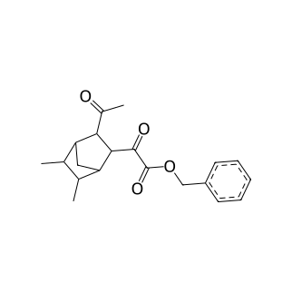 CC(=O)C1C2CC(C(C)C2C)C1C(=O)C(=O)OCc1ccccc1